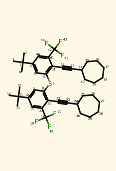 CC(C)(C)c1cc(Sc2cc(C(C)(C)C)cc(C(F)(F)F)c2C#CC2CCCCCC2)c(C#CC2CCCCCC2)c(C(F)(F)F)c1